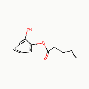 CCCCC(=O)Oc1ccccc1O